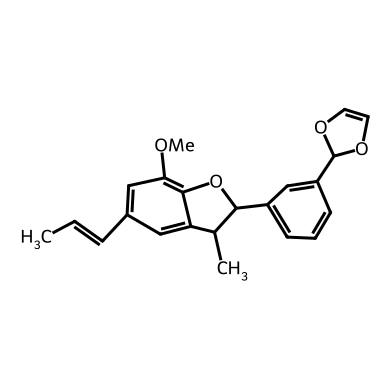 CC=Cc1cc(OC)c2c(c1)C(C)C(c1cccc(C3OC=CO3)c1)O2